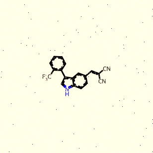 N#CC(C#N)=Cc1ccc2[nH]cc(-c3ccccc3C(F)(F)F)c2c1